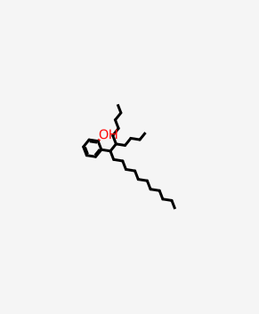 CCCCCCCCCCCC(c1ccccc1O)C(CCCC)CCCCC